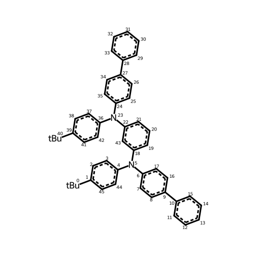 CC(C)(C)c1ccc(N(c2ccc(-c3ccccc3)cc2)c2cccc(N(c3ccc(-c4ccccc4)cc3)c3ccc(C(C)(C)C)cc3)c2)cc1